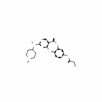 CCC(=O)Nc1ccc2c(c1)NC(=O)c1cnc(N(C)C3CCN(C)CC3)nc1N2